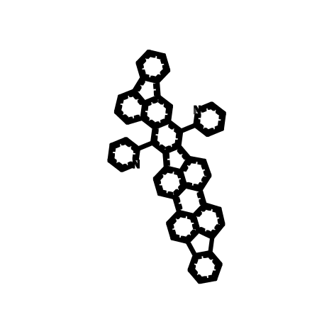 c1ccc(-c2c3cc4c5ccccc5c5cccc(c3c(-c3ccccn3)c3c6ccc7c8ccc9c%10c(ccc(c%11ccc(c23)c6c%117)c%108)-c2ccccc2-9)c54)nc1